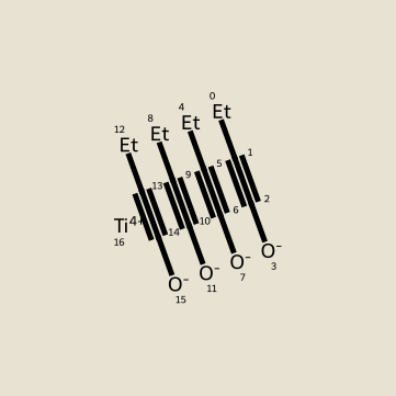 CCC#C[O-].CCC#C[O-].CCC#C[O-].CCC#C[O-].[Ti+4]